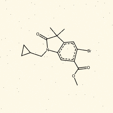 COC(=O)c1cc2c(cc1Br)C(C)(C)C(=O)N2CC1CC1